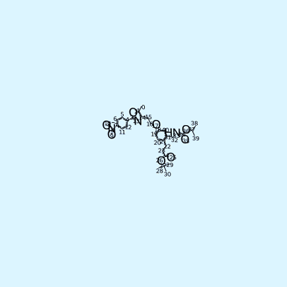 Cc1oc(-c2ccc([N+](=O)[O-])cc2)nc1CCOc1ccc(CCC(=O)OC(C)(C)C)c(CNC(=O)OC(C)C)c1